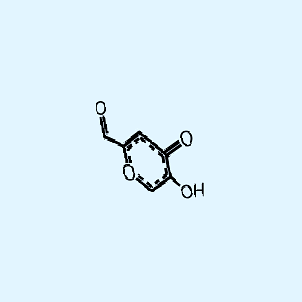 O=Cc1cc(=O)c(O)co1